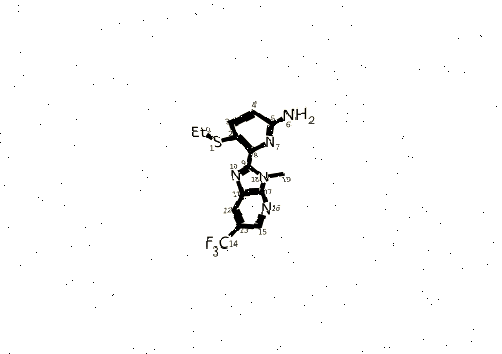 CCSc1ccc(N)nc1-c1nc2cc(C(F)(F)F)cnc2n1C